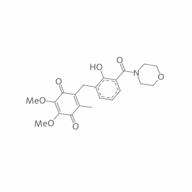 COC1=C(OC)C(=O)C(Cc2cccc(C(=O)N3CCOCC3)c2O)=C(C)C1=O